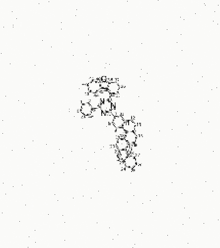 c1ccc(-c2nc(-c3ccc4c(ccc5ccc6c(ccc7sc8ccccc8c76)c54)c3)nc(-c3cccc4oc5ccccc5c34)n2)cc1